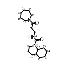 O=C(CCNC(=O)N1CCCC2CCCCC21)N1CCCCCC1